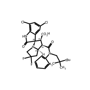 CC(C)(C)C(C)(C)CN(C(=O)[C@H]1[C@H]2CC(F)(F)CN2[C@]2(C(=O)Nc3c(Cl)cc(Cl)cc32)[C@H]1C(=O)O)c1ccccc1